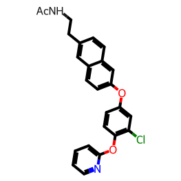 CC(=O)NCCc1ccc2cc(Oc3ccc(Oc4ccccn4)c(Cl)c3)ccc2c1